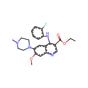 CCOC(=O)c1cnc2cc(OC)c(N3CCN(C)CC3)cc2c1Nc1ccccc1F